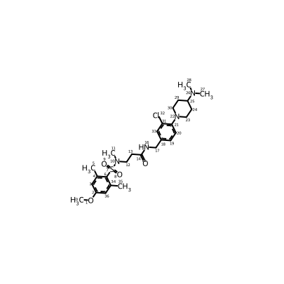 COc1cc(C)c(S(=O)(=O)N(C)CCC(=O)NCc2ccc(N3CCC(N(C)C)CC3)c(Cl)c2)c(C)c1